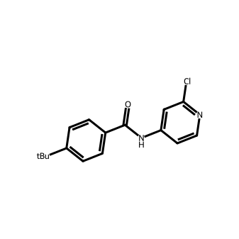 CC(C)(C)c1ccc(C(=O)Nc2ccnc(Cl)c2)cc1